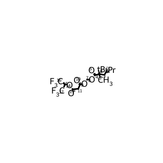 CC(C)CC(C)(C(=O)OCOC(=O)CC(=O)OC(C(F)(F)F)C(F)(F)F)C(C)(C)C